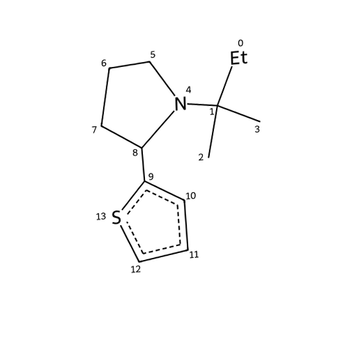 CCC(C)(C)N1CCCC1c1cccs1